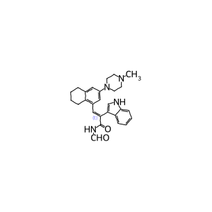 CN1CCN(c2cc(/C=C(/C(=O)NC=O)c3c[nH]c4ccccc34)c3c(c2)CCCC3)CC1